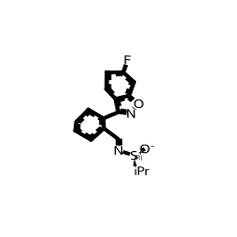 CC(C)[S@+]([O-])N=Cc1ccccc1-c1noc2cc(F)ccc12